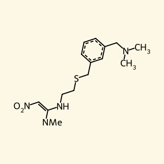 CNC(=C[N+](=O)[O-])NCCSCc1cccc(CN(C)C)c1